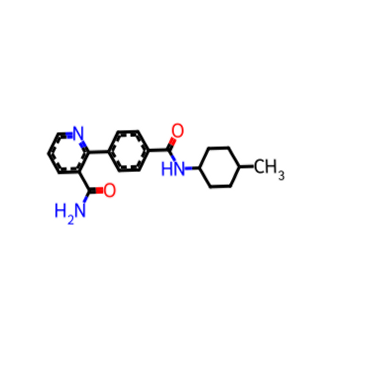 CC1CCC(NC(=O)c2ccc(-c3ncccc3C(N)=O)cc2)CC1